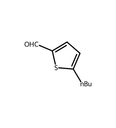 CCCCc1ccc(C=O)s1